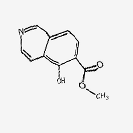 COC(=O)c1ccc2cnccc2c1O